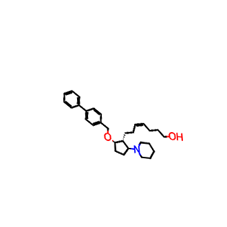 OCCC/C=C\CC[C@H]1[C@@H](OCc2ccc(-c3ccccc3)cc2)CC[C@@H]1N1CCCCC1